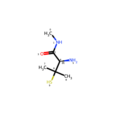 CNC(=O)[C@@H](N)C(C)(C)S